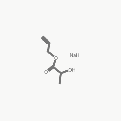 C=CCOC(=O)C(C)O.[NaH]